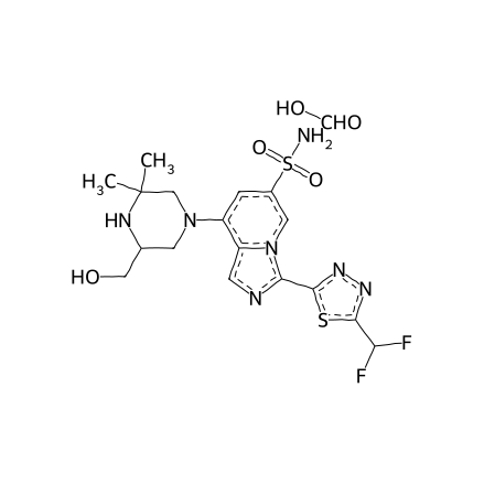 CC1(C)CN(c2cc(S(N)(=O)=O)cn3c(-c4nnc(C(F)F)s4)ncc23)CC(CO)N1.O=CO